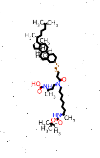 CC(C)CCC[C@@H](C)[C@H]1CC[C@H]2[C@@H]3CC=C4C[C@@H](SSCCC(=O)N(CCCCCCCC(C)NC(=O)OC(C)(C)C)CCC(C)NC(=O)O)CC[C@]4(C)[C@H]3CC[C@]12C